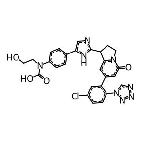 O=C(O)N(CCO)c1ccc(-c2cnc(C3CCn4c3cc(-c3cc(Cl)ccc3-n3cnnn3)cc4=O)[nH]2)cc1